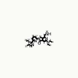 CCN(CC)c1cc2c(c(CNC)n1)CN(c1cccc(-c3nnc(C)n3CC)n1)C2=O